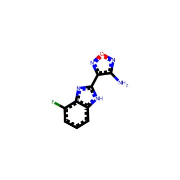 Nc1nonc1-c1nc2c(F)cccc2[nH]1